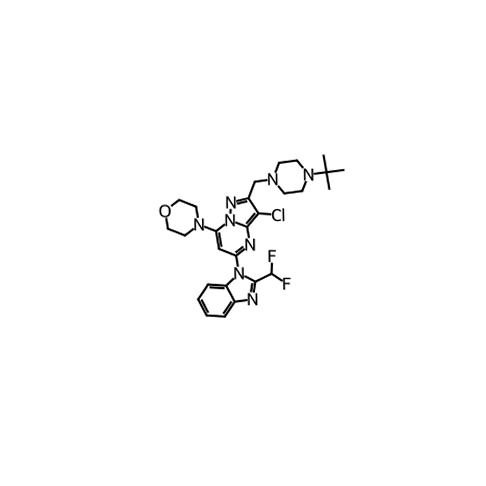 CC(C)(C)N1CCN(Cc2nn3c(N4CCOCC4)cc(-n4c(C(F)F)nc5ccccc54)nc3c2Cl)CC1